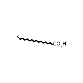 O=C(O)CCCCCCCCCCCCCCC=S